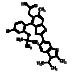 Cc1cc2nc(-c3ccc4c(c3)nc(C)n4C(C)C)sc2c(-c2ccc(Cl)cc2OC(C)(C)C)c1CC(=O)O